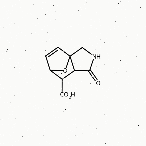 O=C(O)C1C2C=CC3(CNC(=O)C13)O2